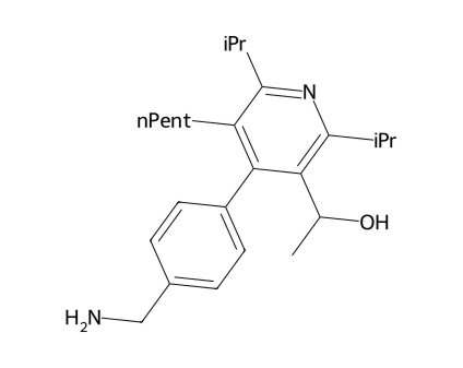 CCCCCc1c(C(C)C)nc(C(C)C)c(C(C)O)c1-c1ccc(CN)cc1